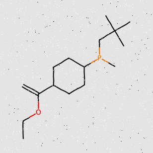 C=C(OCC)C1CCC(P(C)CC(C)(C)C)CC1